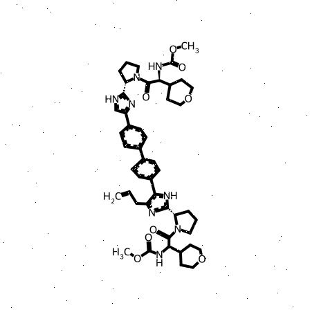 C=CCc1nc([C@@H]2CCCN2C(=O)C(NC(=O)OC)C2CCOCC2)[nH]c1-c1ccc(-c2ccc(-c3c[nH]c([C@@H]4CCCN4C(=O)[C@@H](NC(=O)OC)C4CCOCC4)n3)cc2)cc1